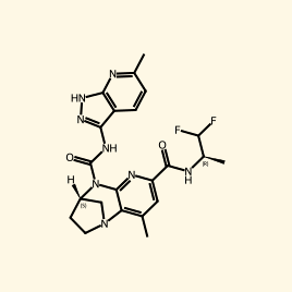 Cc1ccc2c(NC(=O)N3c4nc(C(=O)N[C@H](C)C(F)F)cc(C)c4N4CC[C@H]3C4)n[nH]c2n1